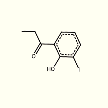 CCC(=O)c1cccc(I)c1O